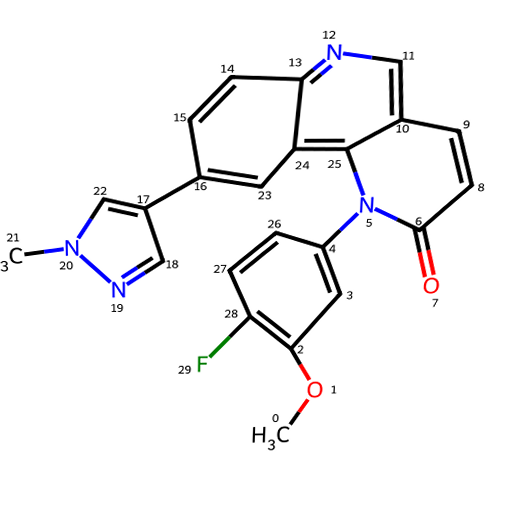 COc1cc(-n2c(=O)ccc3cnc4ccc(-c5cnn(C)c5)cc4c32)ccc1F